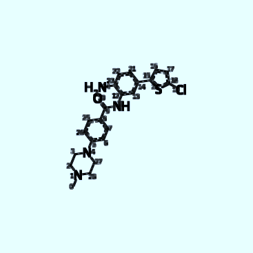 CN1CCN(c2ccc(C(=O)Nc3cc(-c4ccc(Cl)s4)ccc3N)cc2)CC1